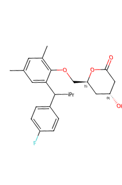 Cc1cc(C)c(OC[C@@H]2C[C@@H](O)CC(=O)O2)c(C(c2ccc(F)cc2)C(C)C)c1